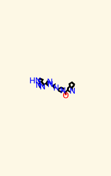 O=C(c1cnc2ccccc2c1)N1CCC(N2CC(n3cc(-c4ncnc5[nH]ccc45)cn3)C2)CC1